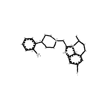 CC1CCc2cc(F)cc3nc(CN4CCC(c5ccccc5C(F)(F)F)CC4)n1c23